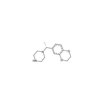 C[C@H](c1ccc2c(c1)OCCO2)N1CCNCC1